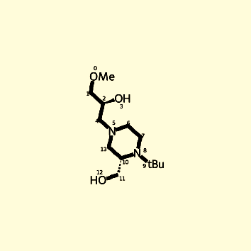 COC[C@@H](O)CN1CCN(C(C)(C)C)[C@H](CO)C1